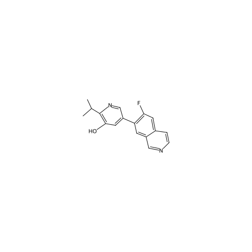 CC(C)c1ncc(-c2cc3cnccc3cc2F)cc1O